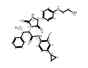 C[C@@H](c1ccccc1)[C@@H](C(=O)Nc1ccc(C2CC2)cc1F)N1C(=O)N[C@H](c2ccc(OCCO)cc2)C1=O